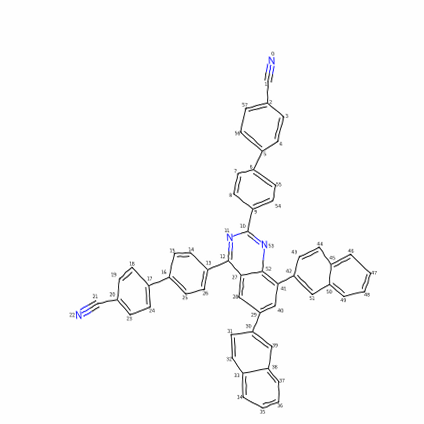 N#Cc1ccc(-c2ccc(-c3nc(-c4ccc(-c5ccc(C#N)cc5)cc4)c4cc(-c5ccc6ccccc6c5)cc(-c5ccc6ccccc6c5)c4n3)cc2)cc1